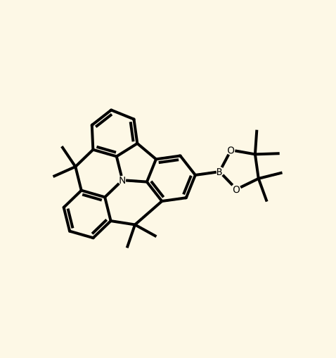 CC1(C)c2cccc3c2-n2c4c1cccc4c1cc(B4OC(C)(C)C(C)(C)O4)cc(c12)C3(C)C